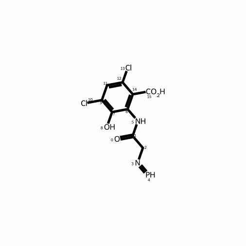 O=C(CN=P)Nc1c(O)c(Cl)cc(Cl)c1C(=O)O